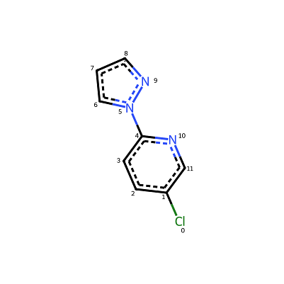 Clc1ccc(-n2cc[c]n2)nc1